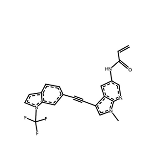 C=CC(=O)Nc1cnc2c(c1)c(C#Cc1ccc3ccn(C(F)(F)F)c3c1)cn2C